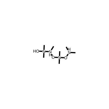 C[SiH](C)O[Si](C)(C)O[SiH](C)[Si](C)(C)O